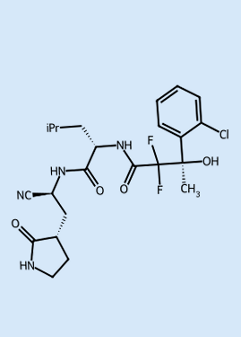 CC(C)C[C@H](NC(=O)C(F)(F)[C@](C)(O)c1ccccc1Cl)C(=O)N[C@H](C#N)C[C@@H]1CCNC1=O